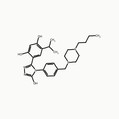 [CH2]CCCN1CCN(Cc2ccc(-n3c(O)nnc3-c3cc(C(C)C)c(O)cc3O)cc2)CC1